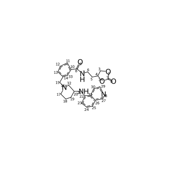 O=C1OCC(CCNC(=O)c2cccc(CN3CCCC(Nc4cccc5cnccc45)C3)c2)O1